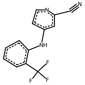 N#Cc1cc(Nc2ccccc2C(F)(F)F)ccn1